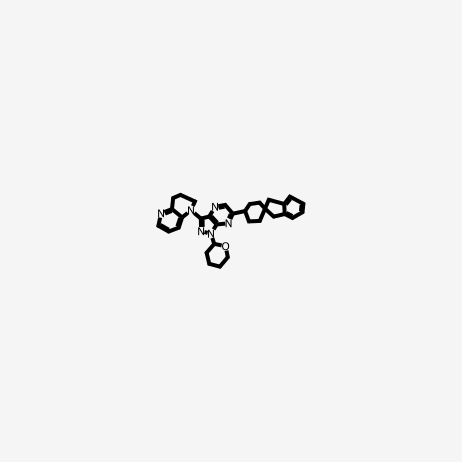 c1ccc2c(c1)CC1(CCC(c3cnc4c(N5CCCc6ncccc65)nn(C5CCCCO5)c4n3)CC1)C2